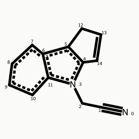 N#CCn1c2c(c3ccccc31)CC=C2